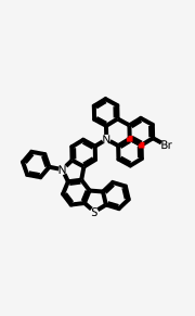 Brc1ccc(-c2ccccc2N(c2ccccc2)c2ccc3c(c2)c2c4c(ccc2n3-c2ccccc2)sc2ccccc24)cc1